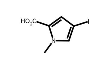 Cn1cc(I)cc1C(=O)O